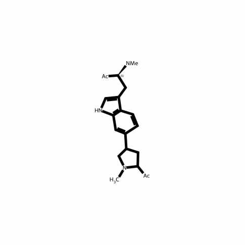 CN[C@@H](Cc1c[nH]c2cc(C3CC(C(C)=O)N(C)C3)ccc12)C(C)=O